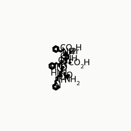 CC(C)C[C@H](NC(=O)[C@H](CC(=O)O)NC(=O)[C@H](CC1CCCCC1)NC(=O)[C@H](CCC(N)=O)NC(=O)CNCc1ccccn1)C(=O)N[C@@H](Cc1ccccc1)C(=O)O